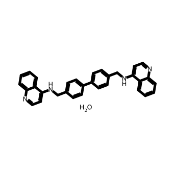 O.c1ccc2c(NCc3ccc(-c4ccc(CNc5ccnc6ccccc56)cc4)cc3)ccnc2c1